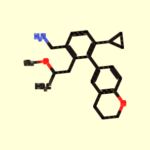 CC(C)(C)OC(Cc1c(CN)ccc(C2CC2)c1-c1ccc2c(c1)CCCO2)C(=O)O